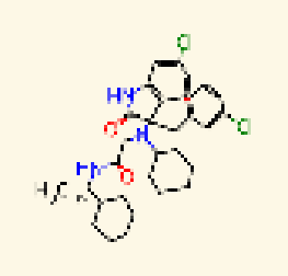 C[C@H](NC(=O)CN(C1CCCCC1)C1(Cc2cccc(Cl)c2)C(=O)Nc2cc(Cl)ccc21)C1CCCCC1